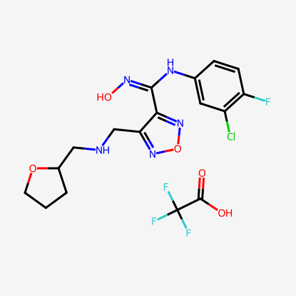 O/N=C(/Nc1ccc(F)c(Cl)c1)c1nonc1CNCC1CCCO1.O=C(O)C(F)(F)F